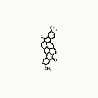 Cc1ccc2c(c1)c(=O)c1ccc3cc4c5ccc(C)cc5c(=O)c5ccc6cc2c1c3c6c54